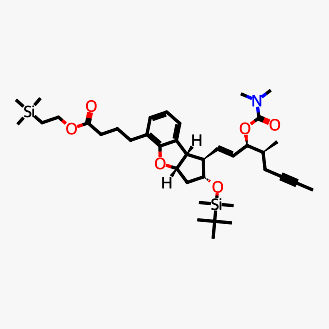 CC#CC[C@H](C)[C@@H](/C=C/[C@@H]1[C@H]2c3cccc(CCCC(=O)OCC[Si](C)(C)C)c3O[C@H]2C[C@H]1O[Si](C)(C)C(C)(C)C)OC(=O)N(C)C